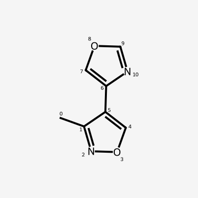 Cc1nocc1-c1cocn1